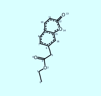 CCOC(=O)Cc1ccc2ccc(=O)oc2c1